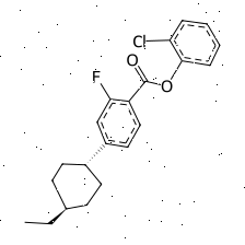 CC[C@H]1CC[C@H](c2ccc(C(=O)Oc3ccccc3Cl)c(F)c2)CC1